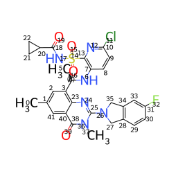 Cc1cc([C@@H](C)Nc2ccc(Cl)nc2S(=O)(=O)NC(=O)C2CC2)c2nc(N3Cc4ccc(F)cc4C3)n(C)c(=O)c2c1